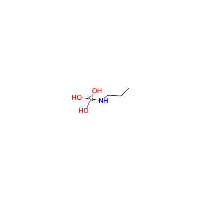 CCCN[Si](O)(O)O